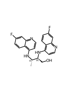 C[C@H](Nc1ccnc2cc(F)ccc12)[C@H](CO)Nc1ccnc2cc(F)ccc12